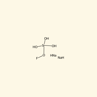 O[Si](O)(O)OF.[NaH].[NaH]